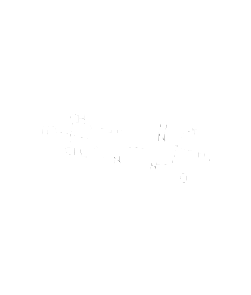 CC(C)C1(C)NC(c2ccc(C(C)(C)O)cn2)=NC1=O